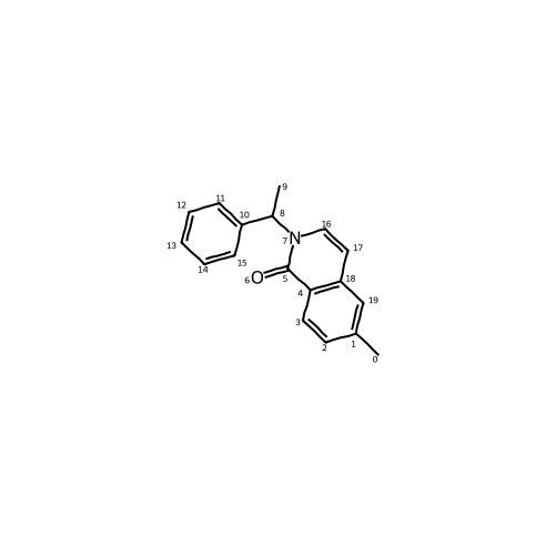 Cc1ccc2c(=O)n(C(C)c3ccccc3)ccc2c1